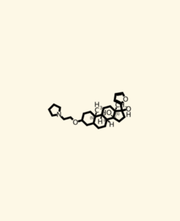 C[C@]12CCC(OCCN3CCCC3)CC1CC[C@@H]1[C@H]2CC[C@]2(C)C(O)(c3ccco3)CC[C@@]12O